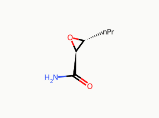 CCC[C@H]1O[C@@H]1C(N)=O